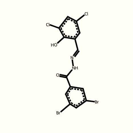 O=C(NN=Cc1cc(Cl)cc(Cl)c1O)c1cc(Br)cc(Br)c1